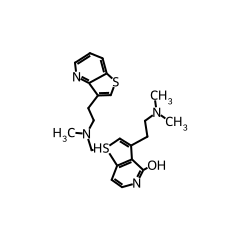 CN(C)CCC1=C[SH](CN(C)CCc2csc3cccnc23)c2ccnc(O)c21